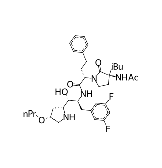 CCCO[C@H]1CN[C@@H]([C@H](O)[C@H](Cc2cc(F)cc(F)c2)NC(=O)[C@H](CCc2ccccc2)N2CC[C@@](NC(C)=O)(C(C)CC)C2=O)C1